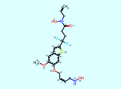 C=CCN(O)C(=O)CCC(F)(F)c1cc2cc(OC)c(OC/C=C\CNO)cc2s1